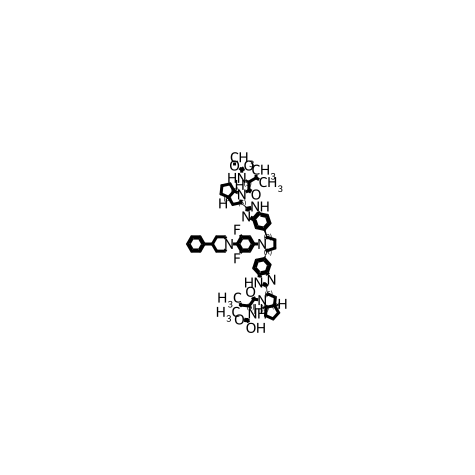 COC(=O)N[C@H](C(=O)N1[C@H](c2nc3cc([C@H]4CC[C@H](c5ccc6[nH]c([C@@H]7C[C@@H]8CCC[C@@H]8N7C(=O)[C@@H](NC(=O)O)C(C)C)nc6c5)N4c4cc(F)c(N5CCC(c6ccccc6)CC5)c(F)c4)ccc3[nH]2)C[C@@H]2CCC[C@@H]21)C(C)C